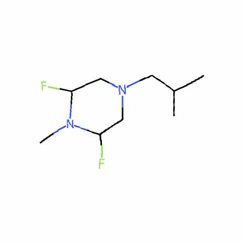 CC(C)CN1CC(F)N(C)C(F)C1